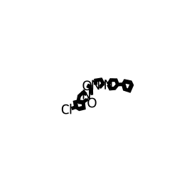 O=C(CN1CCc2cc(Cl)ccc2C1=O)N1CCC(N2CCC(c3ccccc3)CC2)C1